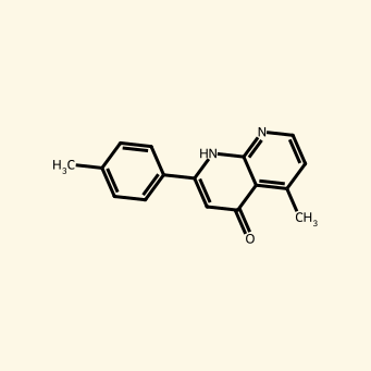 Cc1ccc(-c2cc(=O)c3c(C)ccnc3[nH]2)cc1